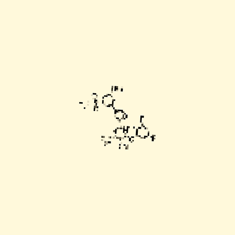 CC(C)(C)c1cc(-c2coc(-c3cc(C(F)(F)F)c(C#N)c(=O)n3Cc3ccc(F)cc3F)c2)cc(S(C)(=O)=O)c1